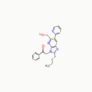 CCCCc1nc2cc(-c3ccccn3)c(CO)nc2n1CC(=O)c1ccccc1